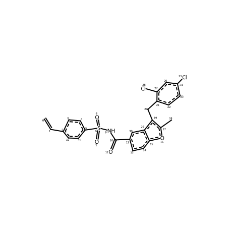 C=Cc1ccc(S(=O)(=O)NC(=O)c2ccc3oc(C)c(Cc4ccc(Cl)cc4Cl)c3c2)cc1